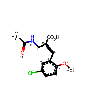 CCOc1ccc(Cl)cc1C=C(CNC(=O)C(F)(F)F)C(=O)O